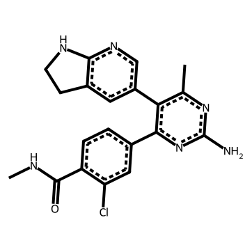 CNC(=O)c1ccc(-c2nc(N)nc(C)c2-c2cnc3c(c2)CCN3)cc1Cl